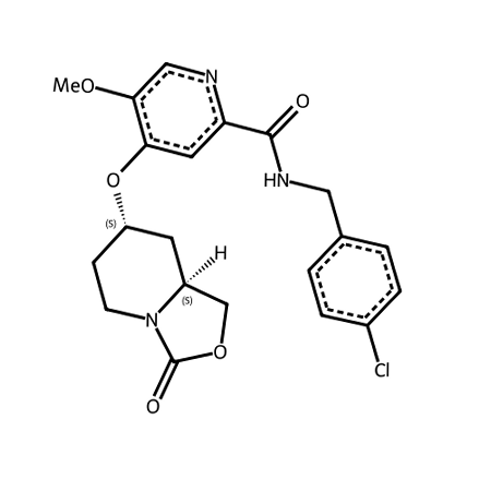 COc1cnc(C(=O)NCc2ccc(Cl)cc2)cc1O[C@H]1CCN2C(=O)OC[C@@H]2C1